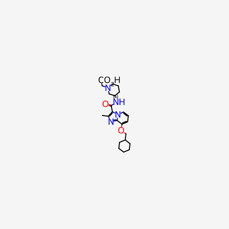 Cc1nc2c(OCC3CCCCC3)cccn2c1C(=O)N[C@H]1CCCN(CC(=O)O)C1